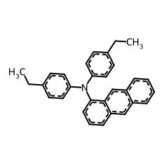 CCc1ccc(N(c2ccc(CC)cc2)c2cccc3cc4ccccc4cc23)cc1